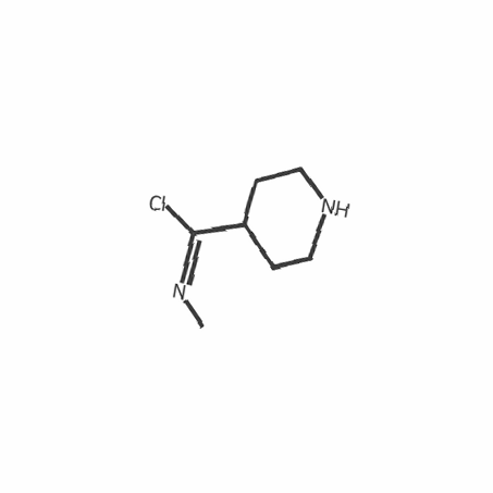 C/N=C(/Cl)C1CCNCC1